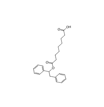 O=C(O)CCCCCCCC(=O)OC(Cc1ccccc1)c1ccccc1